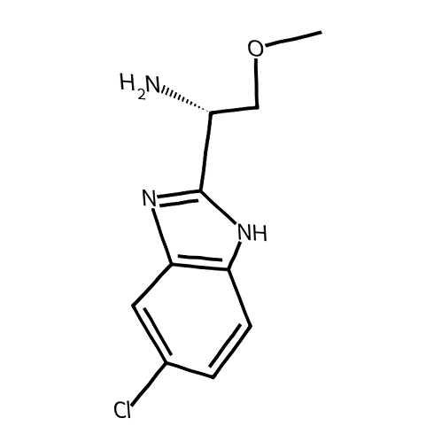 COC[C@@H](N)c1nc2cc(Cl)ccc2[nH]1